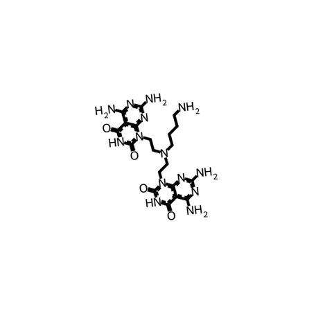 NCCCCN(CCn1c(=O)[nH]c(=O)c2c(N)nc(N)nc21)CCn1c(=O)[nH]c(=O)c2c(N)nc(N)nc21